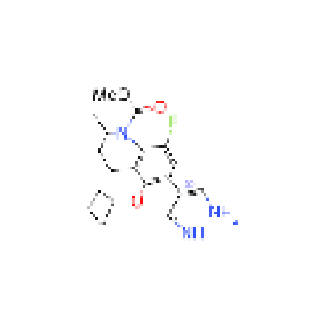 COC(=O)N1c2c(F)cc(/C(C=N)=C/N)c(OC3CCC3)c2CCC1C